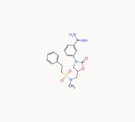 CN(CC1CN(c2cccc(C(=N)N)c2)C(=O)O1)S(=O)(=O)CCc1ccccc1